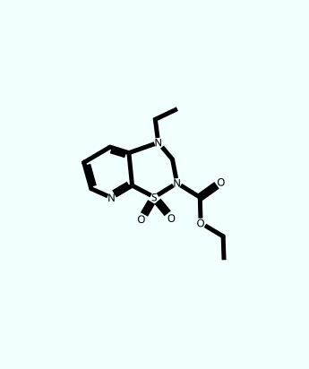 CCOC(=O)N1CN(CC)c2cccnc2S1(=O)=O